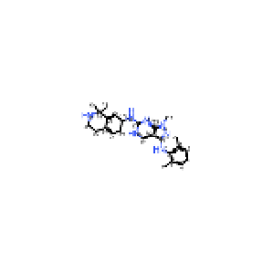 Cc1cccc(C)c1Nc1nn(C)c2c1=CNC(NC1C=C3C(=CC1)CCNC3(C)C)N=2